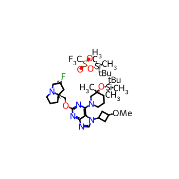 CC(C)(C)[Si](C)(C)OS(=O)(=O)C(F)(F)F.COC1CC(n2cnc3nc(OC[C@@]45CCCN4C[C@H](F)C5)nc(N4CCC[C@@](C)(O[Si](C)(C)C(C)(C)C)C4)c32)C1